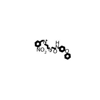 CN(CCCN(C)Cc1cccc([N+](=O)[O-])c1)CC(=O)Nc1ccc(Oc2ccccc2)cc1